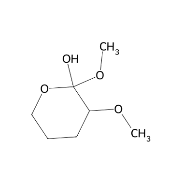 COC1CCCOC1(O)OC